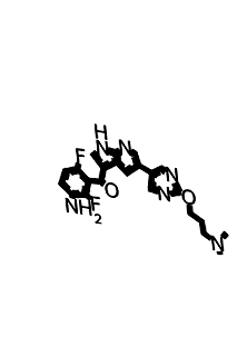 CN(C)CCCOc1ncc(-c2cnc3[nH]cc(C(=O)c4c(F)ccc(N)c4F)c3c2)cn1